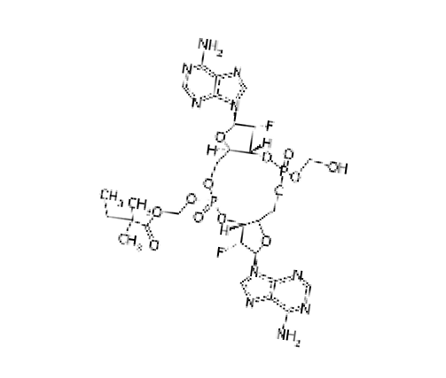 CCC(C)(C)C(=O)OCOP1(=O)OC[C@H]2O[C@@H](n3cnc4c(N)ncnc43)[C@H](F)[C@@H]2OP(=O)(OCO)CCC2O[C@@H](n3cnc4c(N)ncnc43)[C@H](F)[C@@H]2O1